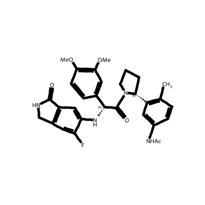 COc1ccc([C@@H](Nc2cc3c(cc2F)CNC3=O)C(=O)N2CCC[C@@H]2c2cc(NC(C)=O)ccc2C)cc1OC